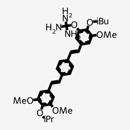 CCC(C)Oc1c(OC)cc(/C=C/c2ccc(/C=C/c3cc(OC)c(OC(C)C)c(OC)c3)cc2)cc1OC(N)(N)N